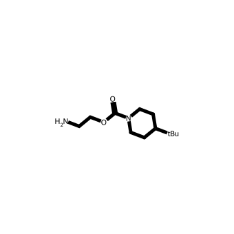 CC(C)(C)C1CCN(C(=O)OCCN)CC1